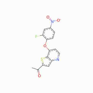 CC(=O)c1cc2nccc(Oc3ccc([N+](=O)[O-])cc3F)c2s1